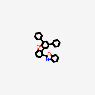 c1ccc(-c2cc(-c3ccccc3)c3oc4cccc(-c5nc6ccccc6o5)c4c3c2)cc1